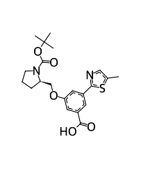 Cc1cnc(-c2cc(OC[C@H]3CCCN3C(=O)OC(C)(C)C)cc(C(=O)O)c2)s1